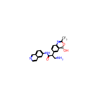 NCC(C(=O)Nc1ccc2cnccc2c1)c1ccc2c(c1)B(O)OC(C(F)(F)F)=N2